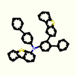 c1ccc(-c2ccc(N(c3ccc(-c4ccccc4)c(-c4ccc5sc6ccccc6c5c4)c3)c3cccc4c3sc3ccccc34)cc2)cc1